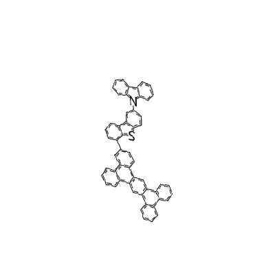 c1cc(-c2ccc3c(c2)c2ccccc2c2cc4c5ccccc5c5ccccc5c4cc32)c2sc3ccc(-n4c5ccccc5c5ccccc54)cc3c2c1